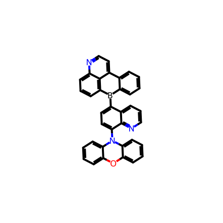 c1ccc2c(c1)Oc1ccccc1N2c1ccc(B2c3ccccc3-c3ccnc4cccc2c34)c2cccnc12